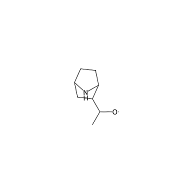 CC([O])C1CC2CCC1N2